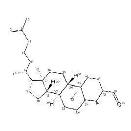 CC(C)CCC[C@@H](C)[C@H]1CC[C@H]2[C@@H]3CCC4CC(C=O)CC[C@]4(C)[C@H]3CC[C@]12C